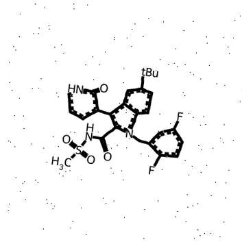 CC(C)(C)c1ccc2c(c1)c(-c1ccc[nH]c1=O)c(C(=O)NS(C)(=O)=O)n2Cc1cc(F)ccc1F